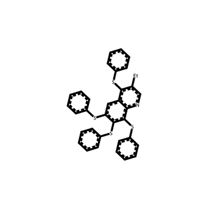 CCc1cnc2c(Sc3ccccc3)c(Sc3ccccc3)c(Sc3ccccc3)cc2c1Sc1ccccc1